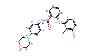 Cc1c(Cl)cccc1Nc1ccccc1C(=O)Nc1ccc(N2CCOCC2)cc1